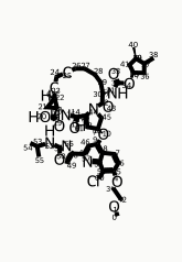 COCCOc1ccc2c(O[C@@H]3C[C@H]4C(=O)N[C@]5(C(=O)O)C[C@H]5CCCCCCC[C@H](NC(=O)O[C@@H]5CC(C)[C@H](C)C5)C(=O)N4C3)cc(-c3coc(NC(C)C)n3)nc2c1Cl